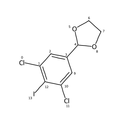 Clc1cc(C2OCCO2)cc(Cl)c1I